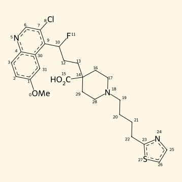 COc1ccc2ncc(Cl)c(C(F)CCC3(C(=O)O)CCN(CCCCc4nccs4)CC3)c2c1